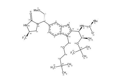 COC[C@H](c1ccc2c(c1)nc([C@@H](N[S@+]([O-])C(C)(C)C)[C@@H](C)OC(C)(C)C(F)(F)F)n2COCC[Si](C)(C)C)N1C[C@@H](C(F)(F)F)NC1=O